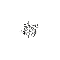 C=C/N=C(\N=C(/C)C#N)N1C(=O)CN(C(=O)OC(C)(C)C)C[C@H]1C(=O)N(c1cc(F)cc(F)c1)[C@H](C(=O)NC1CC(F)(F)C1)c1ccccc1Cl